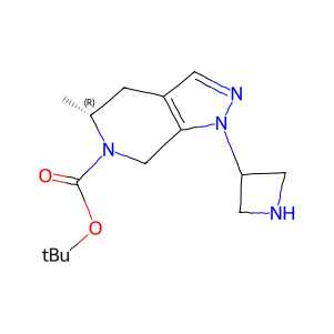 C[C@@H]1Cc2cnn(C3CNC3)c2CN1C(=O)OC(C)(C)C